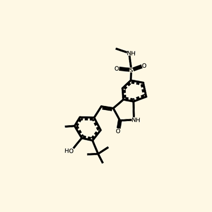 CNS(=O)(=O)c1ccc2c(c1)C(=Cc1cc(C)c(O)c(C(C)(C)C)c1)C(=O)N2